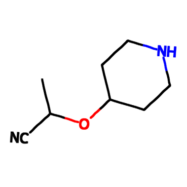 CC(C#N)OC1CCNCC1